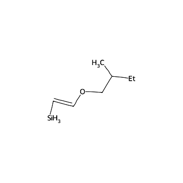 CCC(C)COC=C[SiH3]